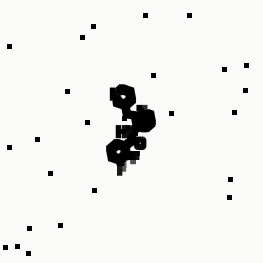 O=C(NC1C2CCN(CC2)C1Cc1cccnc1)c1cccc(F)c1F